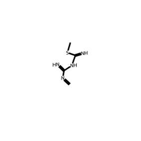 C=NC(=N)NC(=N)SC